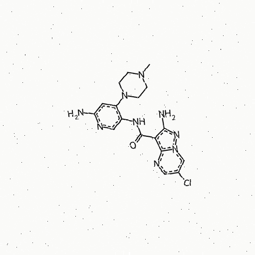 CN1CCN(c2cc(N)ncc2NC(=O)c2c(N)nn3cc(Cl)cnc23)CC1